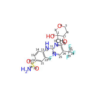 CC1(O)COCCC1Oc1nc(Nc2ccc(S(N)(=O)=O)cc2F)ncc1C(F)(F)F